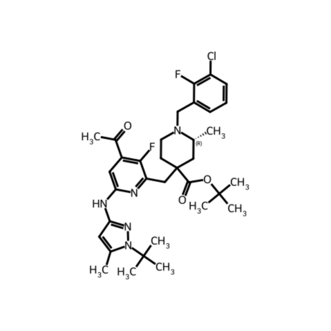 CC(=O)c1cc(Nc2cc(C)n(C(C)(C)C)n2)nc(CC2(C(=O)OC(C)(C)C)CCN(Cc3cccc(Cl)c3F)[C@H](C)C2)c1F